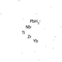 [Nb].[PbH2].[Ti].[Yb].[Zr]